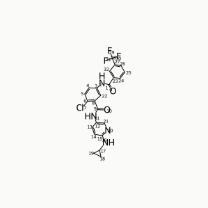 O=C(Nc1ccc(Cl)c(C(=O)Nc2ccc(NC3CC3)nc2)c1)c1cccc(C(F)(F)F)c1